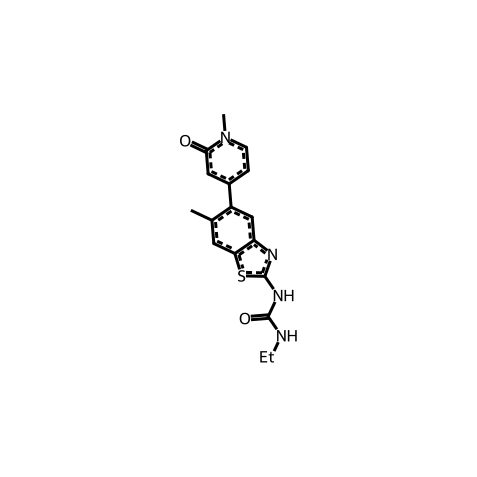 CCNC(=O)Nc1nc2cc(-c3ccn(C)c(=O)c3)c(C)cc2s1